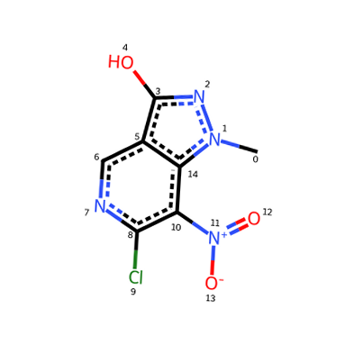 Cn1nc(O)c2cnc(Cl)c([N+](=O)[O-])c21